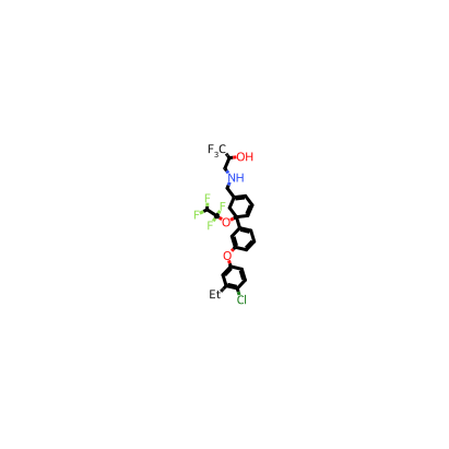 CCc1cc(Oc2cccc(C3(OC(F)(F)C(F)F)C=CC=C(CNCC(O)C(F)(F)F)C3)c2)ccc1Cl